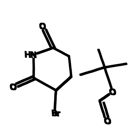 CC(C)(C)OC=O.O=C1CCC(Br)C(=O)N1